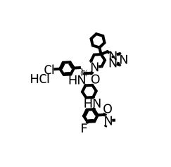 CN(C)C(=O)c1cc(F)ccc1NC1CCC(N[C@H](Cc2ccc(Cl)cc2)C(=O)N2CCC(Cn3cncn3)(C3CCCCC3)CC2)CC1.Cl